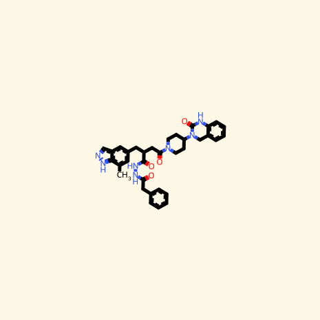 Cc1cc(CC(CC(=O)N2CCC(N3Cc4ccccc4NC3=O)CC2)C(=O)NNC(=O)Cc2ccccc2)cc2cn[nH]c12